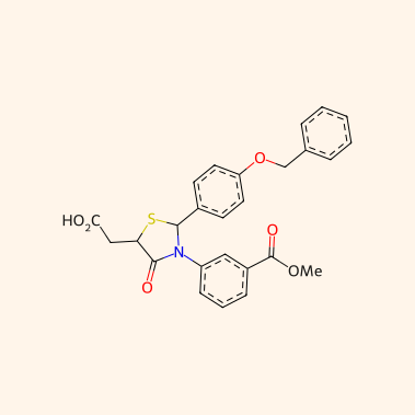 COC(=O)c1cccc(N2C(=O)C(CC(=O)O)SC2c2ccc(OCc3ccccc3)cc2)c1